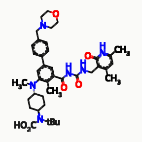 Cc1cc(C)c(CNC(=O)NC(=O)c2cc(-c3ccc(CN4CCOCC4)cc3)cc(N(C)[C@H]3CC[C@H](N(C(=O)O)C(C)(C)C)CC3)c2C)c(=O)[nH]1